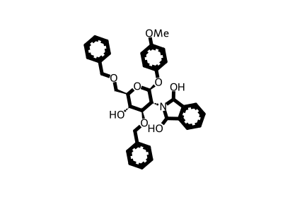 COc1ccc(O[C@@H]2O[C@H](COCc3ccccc3)[C@@H](O)[C@H](OCc3ccccc3)[C@H]2N2C(O)c3ccccc3C2O)cc1